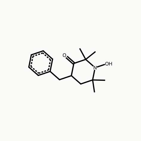 CC1(C)CC(Cc2ccccc2)C(=O)C(C)(C)N1O